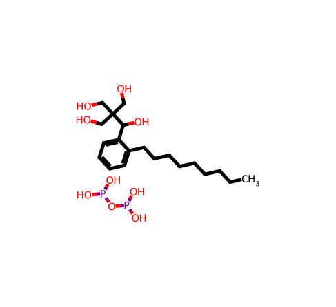 CCCCCCCCCc1ccccc1C(O)C(CO)(CO)CO.OP(O)OP(O)O